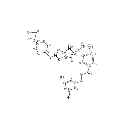 Fc1cc(F)cc(CCOc2ccc3[nH]nc(-c4nc5c([nH]4)CN(CC4CCN(C6CCC6)CC4)C5)c3c2)c1